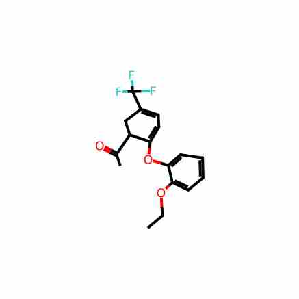 CCOc1ccccc1OC1=CC=C(C(F)(F)F)CC1C(C)=O